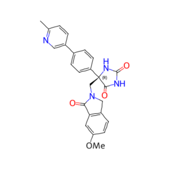 COc1ccc2c(c1)C(=O)N(C[C@@]1(c3ccc(-c4ccc(C)nc4)cc3)NC(=O)NC1=O)C2